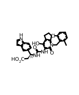 Cc1cccc(Cl)c1Cn1c2c(c(O)c(NC(=O)N[C@@H](CC(=O)O)c3ccc4[nH]ccc4c3)c1=O)CCC2